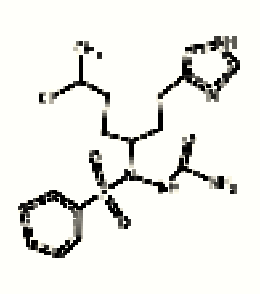 CC(Cl)CCC(CCc1c[nH]cn1)N(NC(N)=O)S(=O)(=O)c1ccccc1